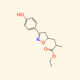 CCOC(=O)C(C)CC1CC(c2ccc(O)cc2)=NO1